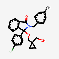 N#Cc1ccc(CN2C(=O)c3ccccc3C2(OCC2(CO)CC2)c2ccc(Cl)cc2)cc1